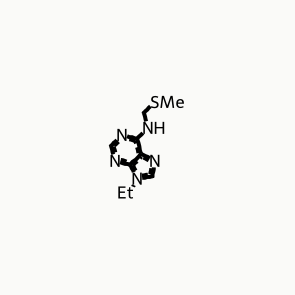 CCn1cnc2c(NCSC)ncnc21